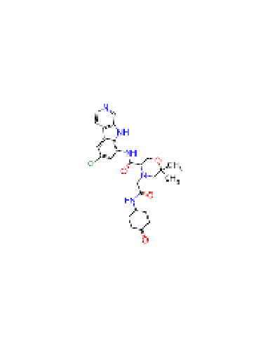 CC1(C)CN(CC(=O)NC2CCC(=O)CC2)C(C(=O)Nc2cc(Cl)cc3c2[nH]c2cnccc23)CO1